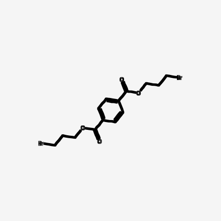 O=C(OCCCBr)c1ccc(C(=O)OCCCBr)cc1